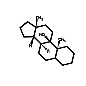 C[C@@]12CCC[C@H]1[C@@H]1CCC3CCCC[C@]3(C)[C@@]1(O)CC2